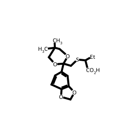 CCC(SCC1(c2ccc3c(c2)OCO3)OCC(C)(C)CO1)C(=O)O